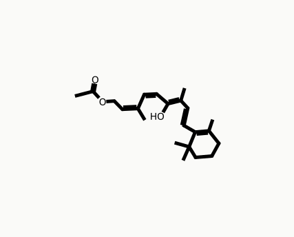 CC(=O)OC/C=C(C)\C=C/C(O)=C(C)C=CC1=C(C)CCCC1(C)C